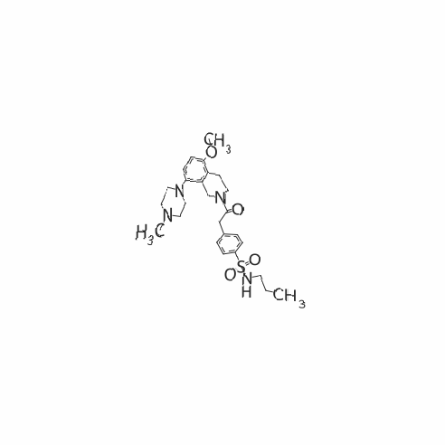 CCCNS(=O)(=O)c1ccc(CC(=O)N2CCc3c(OC)ccc(N4CCN(C)CC4)c3C2)cc1